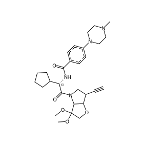 C#CC1CN(C(=O)[C@@H](NC(=O)c2ccc(N3CCN(C)CC3)cc2)C2CCCC2)C2C1OCC2(OC)OC